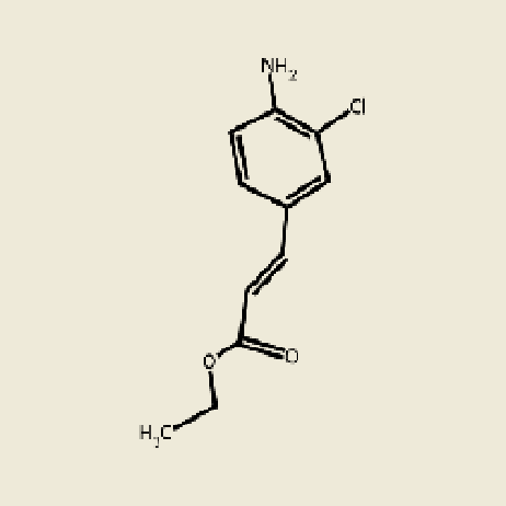 CCOC(=O)C=Cc1ccc(N)c(Cl)c1